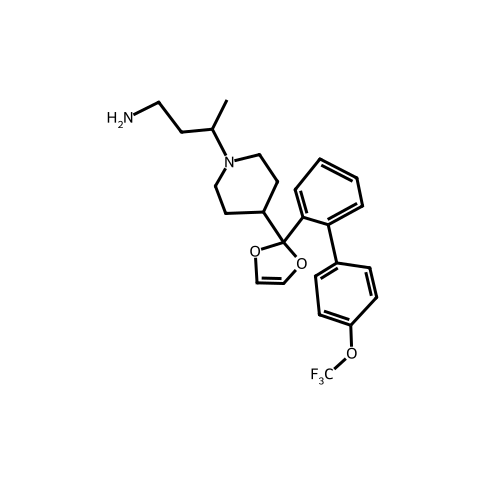 CC(CCN)N1CCC(C2(c3ccccc3-c3ccc(OC(F)(F)F)cc3)OC=CO2)CC1